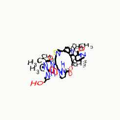 CCn1c(-c2cccnc2[C@H](C)OC)c2c3cc(ccc31)-c1csc(n1)C[C@H](NC(=O)[C@H](C(C)C)N(C)C(=O)N1CC(CO)C1)C(=O)N1CCC[C@H](N1)C(=O)OCC(C)(C)C2